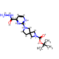 CC(C)(C)OC(=O)N1CC2(CCN(c3nccc(C(=O)NN)n3)C2)C1